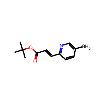 Bc1ccc(/C=C/C(=O)OC(C)(C)C)nc1